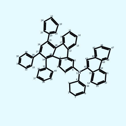 C1=CCCC(N(c2ccc3c(c2)c2ccccc2c2c(-c4ccccc4)cc(-c4ccccc4)c(-c4ccccc4)c32)c2cc3ccccc3c3ccccc23)=C1